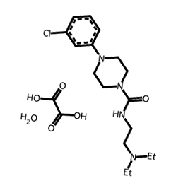 CCN(CC)CCNC(=O)N1CCN(c2cccc(Cl)c2)CC1.O.O=C(O)C(=O)O